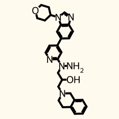 NN(CC(O)CN1CCc2ccccc2C1)c1cc(-c2ccc3ncn(C4CCOCC4)c3c2)ccn1